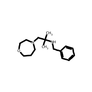 CC(C)(CN1CCCOCC1)NCc1ccccc1